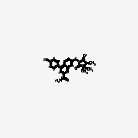 CC1C(=O)N(Cc2ccc3c(-c4ccc(F)cc4)cc(C(N)=O)nc3c2)C(=O)C1(C)C